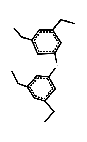 CCc1cc(CC)cc([P]c2cc(CC)cc(CC)c2)c1